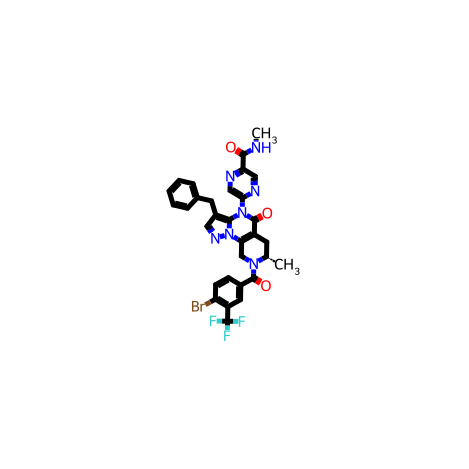 CNC(=O)c1cnc(-n2c(=O)c3c(n4ncc(Cc5ccccc5)c24)CN(C(=O)c2ccc(Br)c(C(F)(F)F)c2)[C@@H](C)C3)cn1